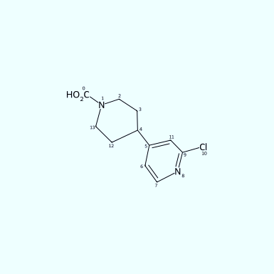 O=C(O)N1CCC(c2ccnc(Cl)c2)CC1